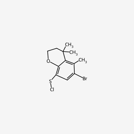 Cc1c(Br)cc(SCl)c2c1C(C)(C)CCO2